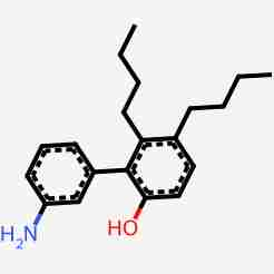 CCCCc1ccc(O)c(-c2cccc(N)c2)c1CCCC